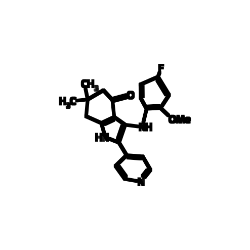 COc1cc(F)ccc1Nc1c(-c2ccncc2)[nH]c2c1C(=O)CC(C)(C)C2